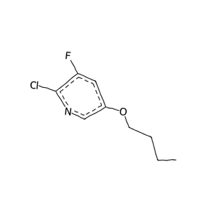 CCCCOc1cnc(Cl)c(F)c1